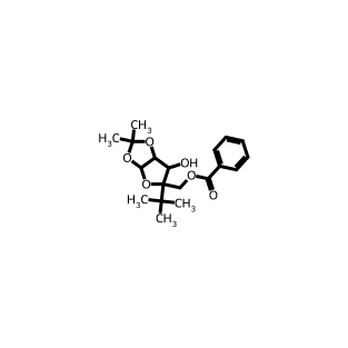 CC1(C)OC2OC(COC(=O)c3ccccc3)(C(C)(C)C)C(O)C2O1